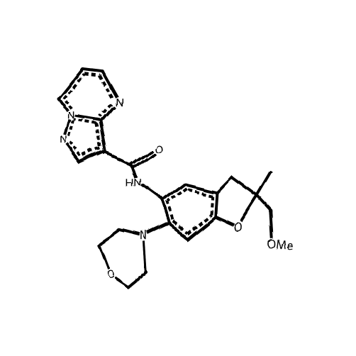 COCC1(C)Cc2cc(NC(=O)c3cnn4cccnc34)c(N3CCOCC3)cc2O1